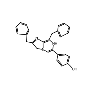 Oc1ccc(C2=CN3CC(Cc4ccccc4)=NC3=C(Cc3ccccc3)N2)cc1